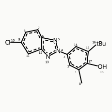 Cc1cc(-n2nc3ccc(Cl)cc3n2)cc(C(C)(C)C)c1O